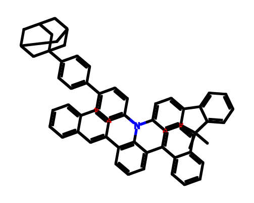 CC1(C)c2ccccc2-c2ccc(N(c3ccc(-c4ccc(C56CC7CC(CC(C7)C5)C6)cc4)cc3)c3c(-c4ccc5ccccc5c4)cccc3-c3cccc4ccccc34)cc21